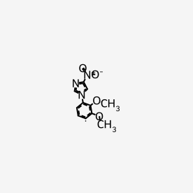 COc1[c]ccc(-n2cnc([N+](=O)[O-])c2)c1OC